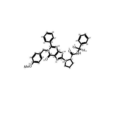 [2H]C([2H])(NC(=O)[C@H]1CCCN1c1nc2c(=O)n(Cc3ccc(OC)cc3)c(-c3ccccc3)nc2s1)c1ccccc1